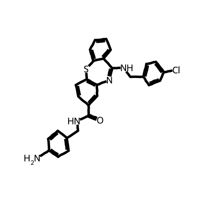 Nc1ccc(CNC(=O)c2ccc3c(c2)N=C(NCc2ccc(Cl)cc2)c2ccccc2S3)cc1